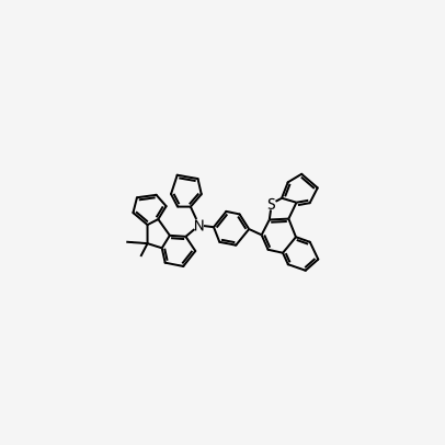 CC1(C)c2ccccc2-c2c(N(c3ccccc3)c3ccc(-c4cc5ccccc5c5c4sc4ccccc45)cc3)cccc21